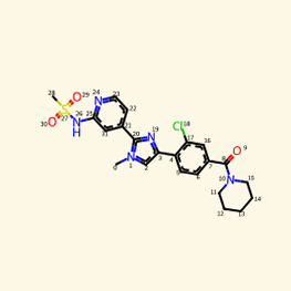 Cn1cc(-c2ccc(C(=O)N3CCCCC3)cc2Cl)nc1-c1ccnc(NS(C)(=O)=O)c1